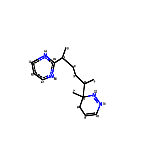 CC(CCC(C)C1(C)CC=CN=N1)c1ncccn1